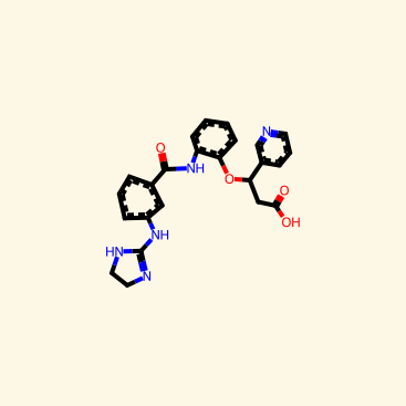 O=C(O)CC(Oc1ccccc1NC(=O)c1cccc(NC2=NCCN2)c1)c1cccnc1